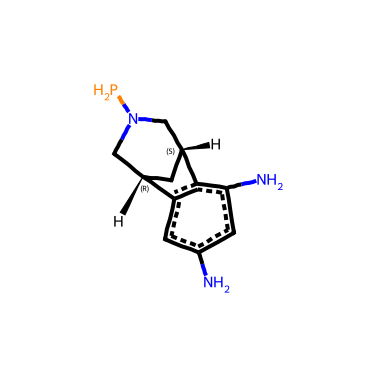 Nc1cc(N)c2c(c1)[C@H]1C[C@@H]2CN(P)C1